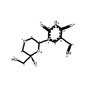 CC[C@@]1(CO)COCC(n2cc(C=N)c(=O)[nH]c2=O)O1